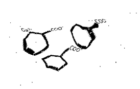 O=C([O-])C1CC=CCC1.O=C([O-])C1CC=CCC1.O=C([O-])C1CC=CCC1.[Ga+3]